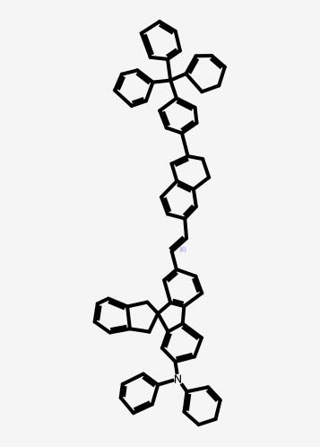 C1=CCCC(C(c2ccccc2)(c2ccccc2)c2ccc(C3=Cc4ccc(/C=C/c5ccc6c(c5)C5(Cc7ccccc7C5)c5cc(N(C7=CCCC=C7)c7ccccc7)ccc5-6)cc4CC3)cc2)=C1